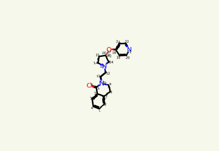 O=C1c2ccccc2CCN1CCN1CC[C@@H](Oc2ccncc2)C1